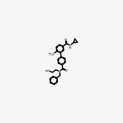 Cc1ccc(C(=O)NC2CC2)cc1-c1ccc(C(=O)N(CCO)Cc2ccccc2)cc1